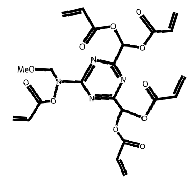 C=CC(=O)OC(OC(=O)C=C)c1nc(C(OC(=O)C=C)OC(=O)C=C)nc(N(COC)OC(=O)C=C)n1